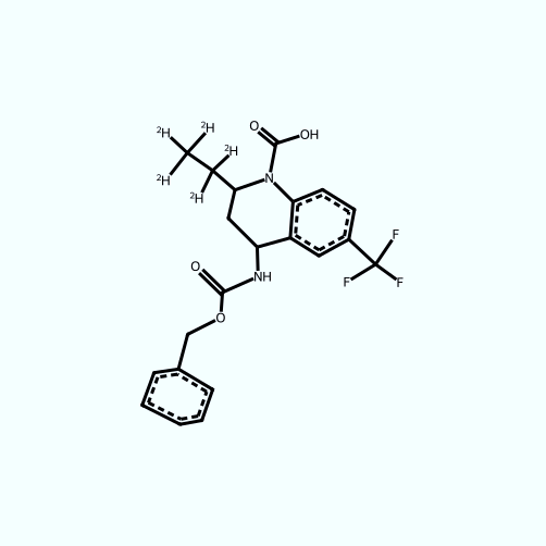 [2H]C([2H])([2H])C([2H])([2H])C1CC(NC(=O)OCc2ccccc2)c2cc(C(F)(F)F)ccc2N1C(=O)O